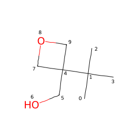 CC(C)(C)C1(CO)COC1